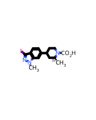 C[C@H]1CC(c2ccc3c(I)nn(C)c3c2)CCN1C(=O)O